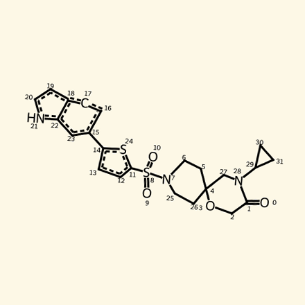 O=C1COC2(CCN(S(=O)(=O)c3ccc(-c4ccc5cc[nH]c5c4)s3)CC2)CN1C1CC1